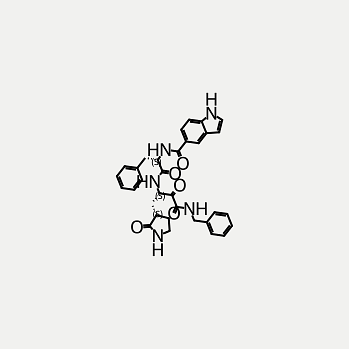 O=C(NCc1ccccc1)C(=O)[C@H](C[C@@H]1CCNC1=O)NC(=O)[C@H](Cc1ccccc1)NC(=O)c1ccc2[nH]ccc2c1